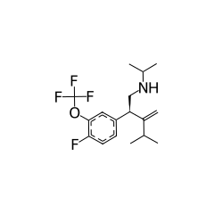 C=C(C(C)C)[C@H](CNC(C)C)c1ccc(F)c(OC(F)(F)F)c1